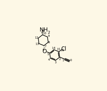 C#Cc1ccc(O[C@H]2CC[C@H](N)CC2)cc1Cl